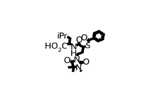 CC(C)CC(NC(=O)C(CCN1C(=O)N(C)C(C)(C)C1=O)SC(=O)c1ccccc1)C(=O)O